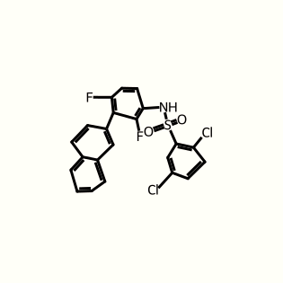 O=S(=O)(Nc1ccc(F)c(-c2ccc3ccccc3c2)c1F)c1cc(Cl)ccc1Cl